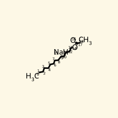 CCCCCCCCCCCCCCOC(=O)CC.[NaH]